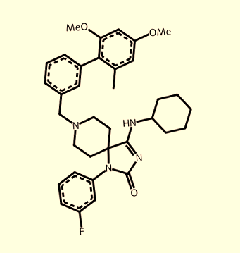 COc1cc(C)c(-c2cccc(CN3CCC4(CC3)C(NC3CCCCC3)=NC(=O)N4c3cccc(F)c3)c2)c(OC)c1